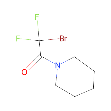 O=C(N1CCCCC1)C(F)(F)Br